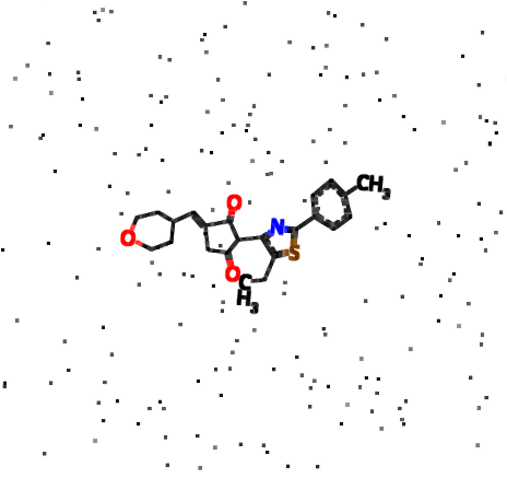 CCc1sc(-c2ccc(C)cc2)nc1C1C(=O)C/C(=C\C2CCOCC2)C1=O